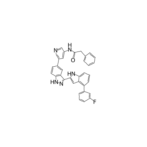 O=C(Cc1ccccc1)Nc1cncc(-c2ccc3[nH]nc(-c4cc5c(-c6cccc(F)c6)cccc5[nH]4)c3c2)c1